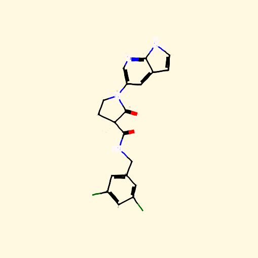 O=C(NCc1cc(F)cc(F)c1)[C@@]1(O)CCN(c2cnc3[nH]ccc3c2)C1=O